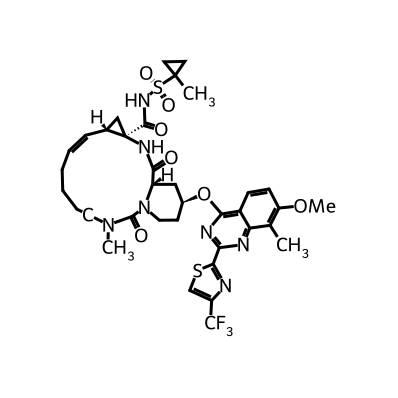 COc1ccc2c(O[C@H]3CCN4C(=O)N(C)CCCC/C=C\[C@@H]5C[C@@]5(C(=O)NS(=O)(=O)C5(C)CC5)NC(=O)[C@@H]4C3)nc(-c3nc(C(F)(F)F)cs3)nc2c1C